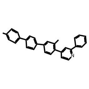 Cc1ccc(-c2ccc(-c3ccc(-c4ccnc(-c5ccccc5)c4)c(C)c3)cc2)cc1